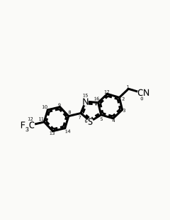 N#CCc1ccc2sc(-c3ccc(C(F)(F)F)cc3)nc2c1